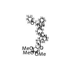 COc1cc(C(=O)N2CCC(CCN3CCCN(c4nc5ccccc5n4CCOc4ccccc4)CC3)(c3cccnc3)C2)cc(OC)c1OC